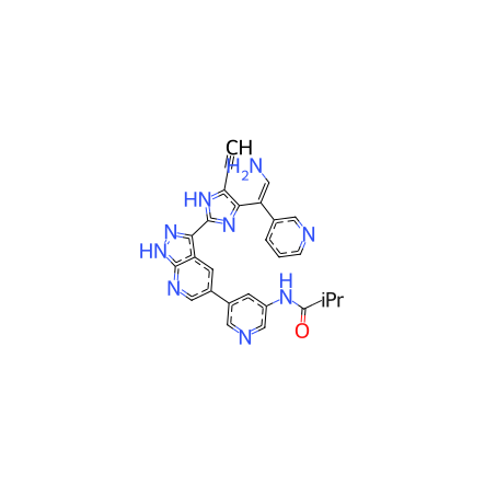 C#Cc1[nH]c(-c2n[nH]c3ncc(-c4cncc(NC(=O)C(C)C)c4)cc23)nc1/C(=C\N)c1cccnc1